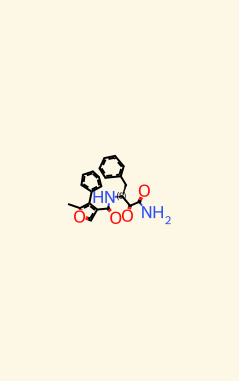 Cc1occ(C(=O)N[C@@H](Cc2ccccc2)C(=O)C(N)=O)c1-c1ccccc1